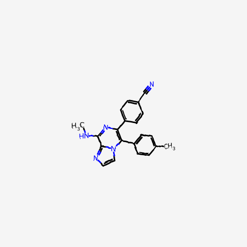 CNc1nc(-c2ccc(C#N)cc2)c(-c2ccc(C)cc2)n2ccnc12